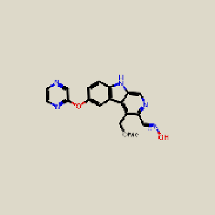 COCc1c(/C=N/O)ncc2[nH]c3ccc(Oc4cnccn4)cc3c12